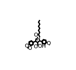 CCCCCCCC(=O)CN1CC(c2ccc3c(c2)OCO3)C(C(=O)O)C1c1ccc(OC)cc1